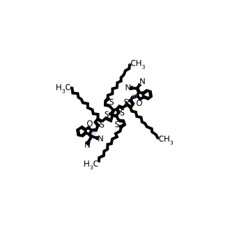 CCCCCCCCCCCCc1ccc(-c2c3cc(-c4sc(/C=C5\C(=O)c6ccccc6C5=C(C#N)C#N)cc4CCCCCCCCCCCC)sc3c(-c3ccc(CCCCCCCCCCCC)s3)c3cc(-c4sc(/C=C5\C(=O)c6ccccc6C5=C(C#N)C#N)cc4CCCCCCCCCCCC)sc23)s1